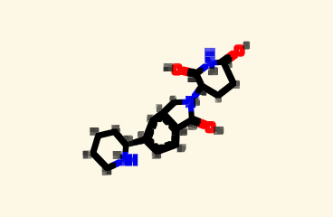 O=C1CCC(N2Cc3cc([C@@H]4CCCCN4)ccc3C2=O)C(=O)N1